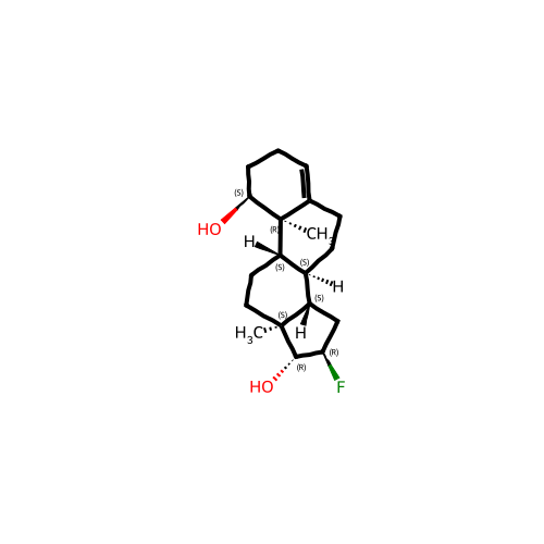 C[C@]12CC[C@H]3[C@@H](CCC4=CCC[C@H](O)[C@@]43C)[C@@H]1C[C@@H](F)[C@@H]2O